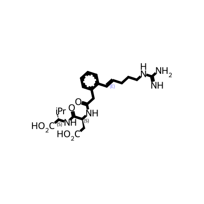 CC(C)[C@H](NC(=O)[C@H](CC(=O)O)NC(=O)Cc1ccccc1/C=C/CCCNC(=N)N)C(=O)O